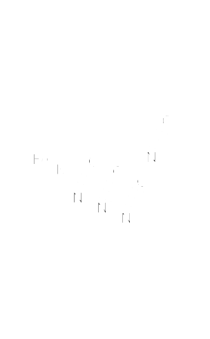 [C-]#N.[C-]#N.[C-]#N.[C-]#N.[Fe+3].[K+]